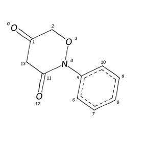 O=C1CON(c2ccccc2)C(=O)C1